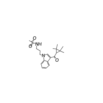 CC1(C)C(C(=O)c2cn(CCCNS(C)(=O)=O)c3ccccc23)C1(C)C